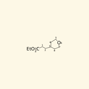 CCOC(=O)CCC1CCOCC1